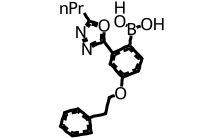 CCCc1nnc(-c2cc(OCCc3ccccc3)ccc2B(O)O)o1